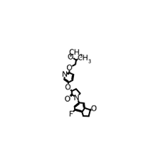 COC(C)COc1ccc(OC2CCN(c3cc(F)c4c(c3)C(=O)CC4)C2=O)cn1